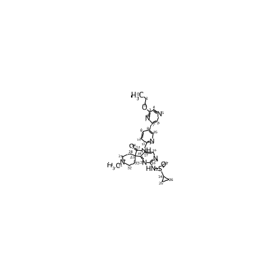 CCOc1cncc(-c2ccc(NC(=O)C3(c4ccnc(N[S+]([O-])C5CC5)n4)CCN(C)CC3)nc2)n1